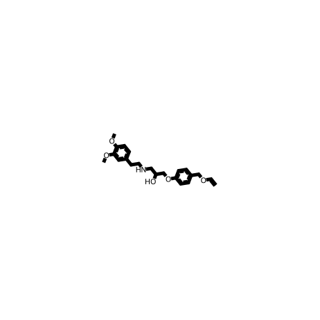 C=COCc1ccc(OCC(O)CNCCc2ccc(OC)c(OC)c2)cc1